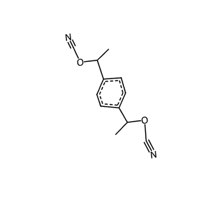 CC(OC#N)c1ccc(C(C)OC#N)cc1